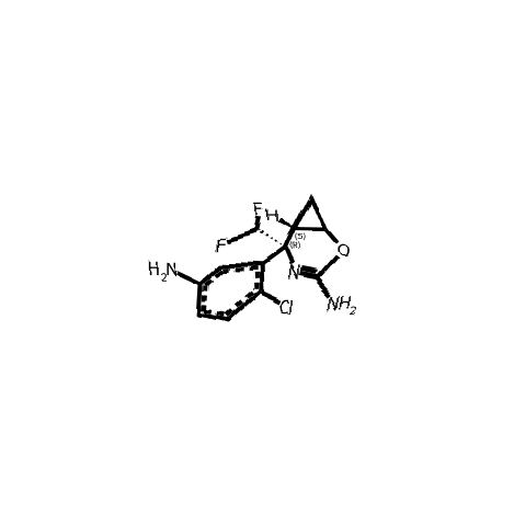 NC1=N[C@](c2cc(N)ccc2Cl)(C(F)F)[C@@H]2CC2O1